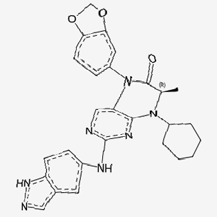 C[C@@H]1C(=O)N(c2ccc3c(c2)OCO3)c2cnc(Nc3ccc4[nH]ncc4c3)nc2N1C1CCCCC1